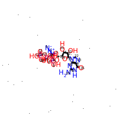 [N-]=[N+]=NOC(OP(=O)(O)OP(=O)(O)OP(=O)(O)O)[C@H]1O[C@@H](n2cnc3c(=O)[nH]c(N)nc32)[C@H](O)[C@@H]1O